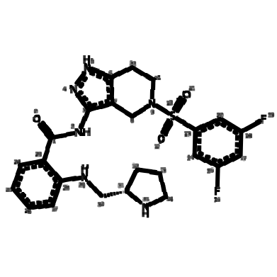 O=C(Nc1n[nH]c2c1CN(S(=O)(=O)c1cc(F)cc(F)c1)CC2)c1ccccc1NC[C@@H]1CCCN1